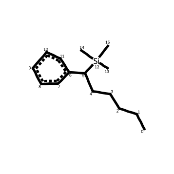 CCCCCC(c1ccccc1)[Si](C)(C)C